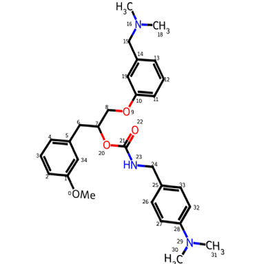 COc1cccc(CC(COc2cccc(CN(C)C)c2)OC(=O)NCc2ccc(N(C)C)cc2)c1